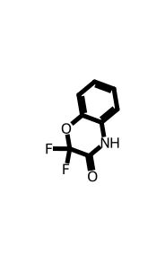 O=C1Nc2ccccc2OC1(F)F